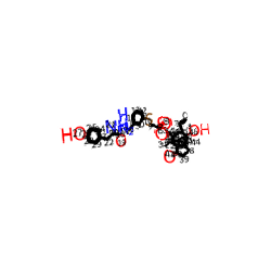 C=C[C@]1(C)C[C@@H](OC(=O)CSc2cccc(CNC(=O)[C@H](N)Cc3ccc(O)cc3)c2)[C@]2(C)C(C)CCC3(CCC(=O)C32)[C@@H](C)[C@@H]1O